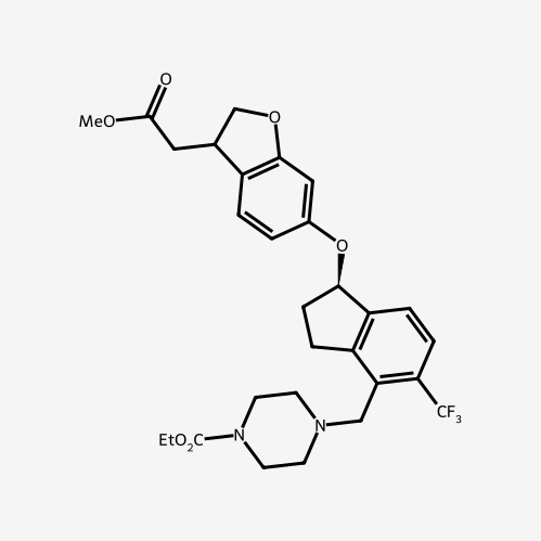 CCOC(=O)N1CCN(Cc2c(C(F)(F)F)ccc3c2CC[C@H]3Oc2ccc3c(c2)OCC3CC(=O)OC)CC1